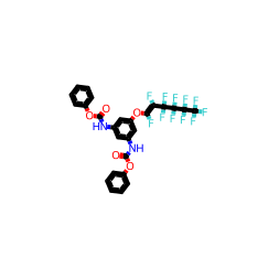 O=C(Nc1cc(NC(=O)Oc2ccccc2)cc(OC(F)=C(F)C(F)(F)C(F)(F)C(F)(F)C(F)(F)F)c1)Oc1ccccc1